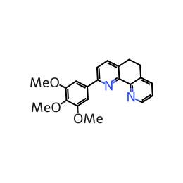 COc1cc(-c2ccc3c(n2)-c2ncccc2CC3)cc(OC)c1OC